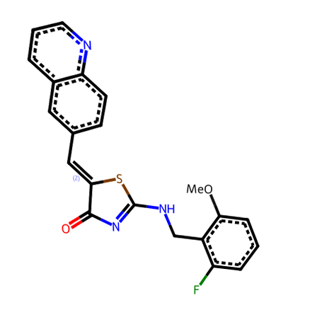 COc1cccc(F)c1CNC1=NC(=O)/C(=C/c2ccc3ncccc3c2)S1